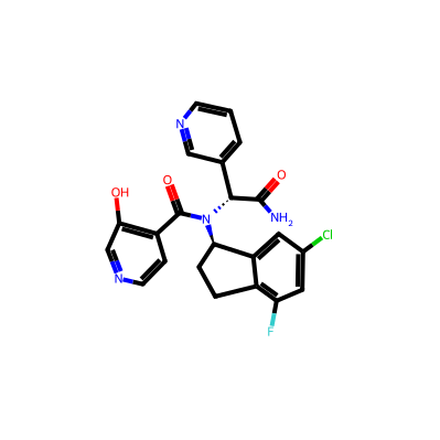 NC(=O)[C@@H](c1cccnc1)N(C(=O)c1ccncc1O)[C@@H]1CCc2c(F)cc(Cl)cc21